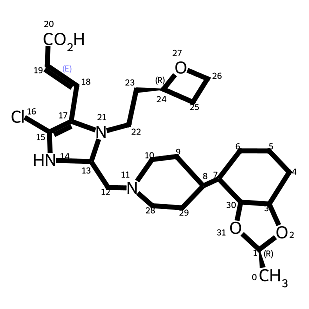 C[C@@H]1OC2CCCC(C3CCN(CC4NC(Cl)=C(/C=C/C(=O)O)N4CC[C@@H]4CCO4)CC3)C2O1